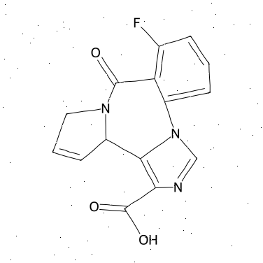 O=C(O)c1ncn2c1C1C=CCN1C(=O)c1c(F)cccc1-2